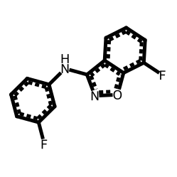 Fc1cccc(Nc2noc3c(F)cccc23)c1